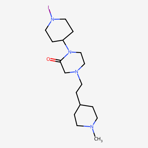 CN1CCC(CCN2CCN(C3CCN(I)CC3)C(=O)C2)CC1